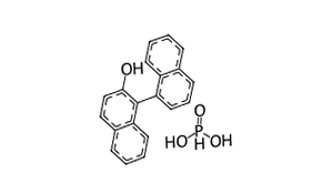 O=[PH](O)O.Oc1ccc2ccccc2c1-c1cccc2ccccc12